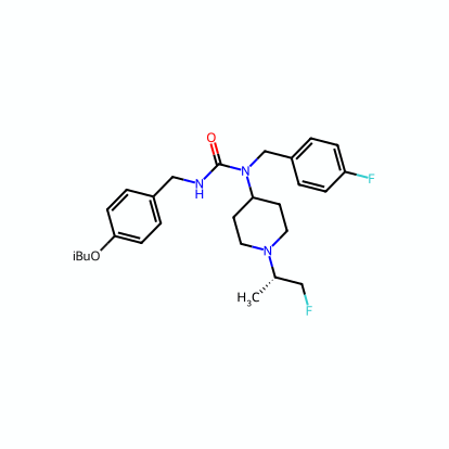 CC(C)COc1ccc(CNC(=O)N(Cc2ccc(F)cc2)C2CCN([C@@H](C)CF)CC2)cc1